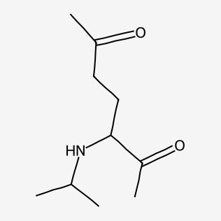 CC(=O)CCC(NC(C)C)C(C)=O